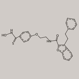 O=C(NCCOc1ccc(C(=S)NO)cc1)c1oc2ccccc2c1CCc1ccccc1